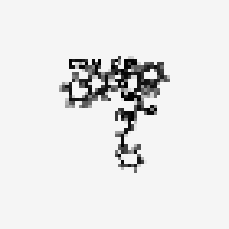 O=C(NCCN1CCCCC1)Nc1ccccc1S(=O)(=O)Nc1ccc2c(c1C(=O)O)CCCC2